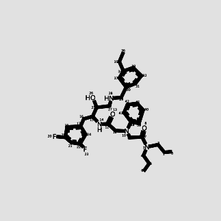 CCCN(CCC)C(=O)CN(CC(=O)NC(Cc1cc(F)cc(F)c1)C(O)CNCc1cccc(CC)c1)c1ccccc1